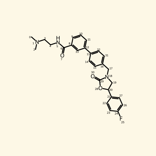 CN(C)CCNC(=O)c1cccc(-c2ccc(CN3CC(c4ccc(F)cc4)OC3=O)cc2)c1